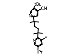 CC(C)c1cnc(C(C)(C)CCC(C)(C)c2cc(C#N)c(C(C)(C)C)cn2)c(F)c1